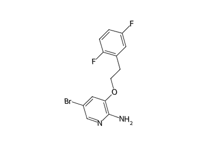 Nc1ncc(Br)cc1OCCc1cc(F)ccc1F